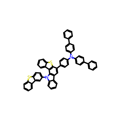 c1ccc(-c2ccc(N(c3ccc(-c4ccccc4)cc3)c3ccc(-c4cc5c6ccccc6n(-c6ccc7sc8ccccc8c7c6)c5c5c4sc4ccccc45)cc3)cc2)cc1